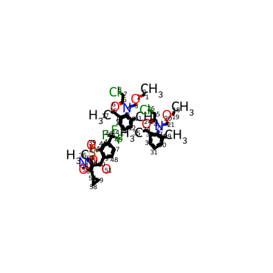 CCOCN(C(=O)CCl)c1c(C)cccc1CC.CCOCN(C(=O)CCl)c1c(C)cccc1CC.CS(=O)(=O)c1cc(C(F)(F)F)ccc1C(=O)c1cnoc1C1CC1